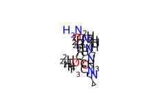 [2H]C([2H])([2H])Oc1cccc([C@H]2[C@@H](N3C([2H])([2H])C([2H])([2H])N(CC(N)=O)C([2H])([2H])C3([2H])[2H])CCN2C(=O)Cn2nc(C3CC3)cc2C(F)(F)F)c1C